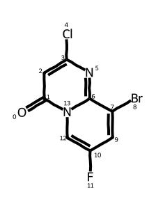 O=c1cc(Cl)nc2c(Br)cc(F)cn12